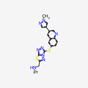 CC(C)NCc1nn2c(Sc3ccc4ncc(-c5cnn(C)c5)cc4c3)nnc2s1